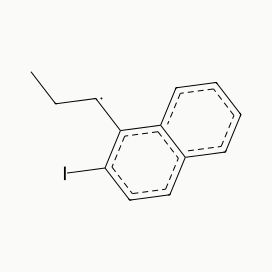 CC[CH]c1c(I)ccc2ccccc12